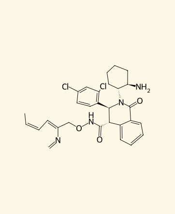 C=N/C(=C\C=C/C)CONC(=O)[C@H]1c2ccccc2C(=O)N([C@@H]2CCCC[C@H]2N)[C@@H]1c1ccc(Cl)cc1Cl